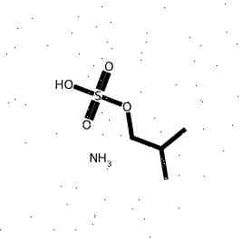 CC(C)COS(=O)(=O)O.N